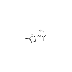 CC1=CCC([C@H](N)C(C)C)O1